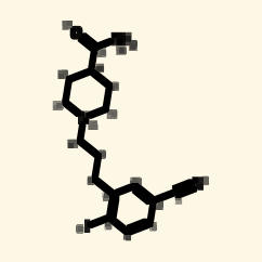 N#Cc1ccc(I)c(CCCN2CCC(C(N)=O)CC2)c1